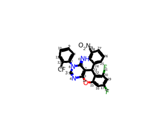 N=c1c2c(ncn1-c1ccccc1C(F)(F)F)Oc1cc(F)cc(F)c1C2c1cccc([N+](=O)[O-])c1